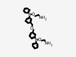 NCCOB(c1ccccc1)c1cccc(COCc2cccc(B(OCCN)c3ccccc3)c2)c1